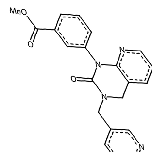 COC(=O)c1cccc(N2C(=O)N(Cc3cccnc3)Cc3cccnc32)c1